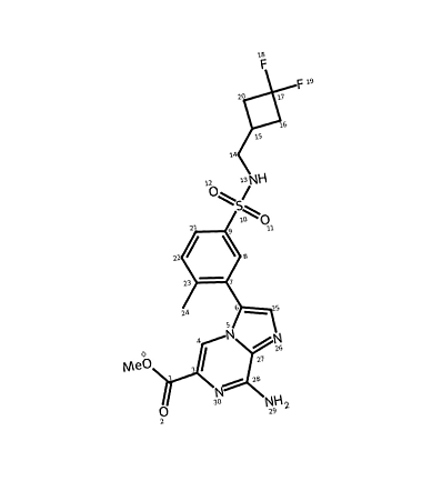 COC(=O)c1cn2c(-c3cc(S(=O)(=O)NCC4CC(F)(F)C4)ccc3C)cnc2c(N)n1